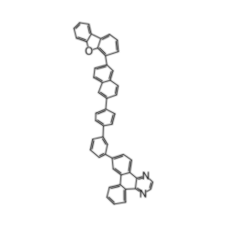 c1cc(-c2ccc(-c3ccc4cc(-c5cccc6c5oc5ccccc56)ccc4c3)cc2)cc(-c2ccc3c(c2)c2ccccc2c2nccnc32)c1